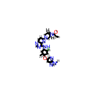 C=CC(=O)N1C[C@H]2C[C@@H]1CN(c1ccc3ncnc(Nc4cc(C)c(Oc5cnc6c(c5)ncn6C)cc4F)c3n1)C2